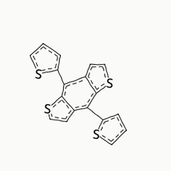 c1csc(-c2c3ccsc3c(-c3cccs3)c3ccsc23)c1